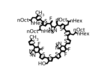 CCCCCCCCC(CCCCCC)Cc1cc(-c2sc(/C(=C\F)c3nsnc3/C(=C/F)c3cc(CC(CCCCCC)CCCCCCCC)c(-c4cc(CC(CCCCCC)CCCCCCCC)c(-c5ccc(-c6c(F)c(F)c(-c7ccc(-c8cc(CO)c(-c9ccc(-c%10c(F)c(F)c(-c%11ccc(C)s%11)c%11nsnc%10%11)s9)s8)s7)c7nsnc67)s5)s4)s3)cc2CC(CCCCCC)CCCCCCCC)sc1C